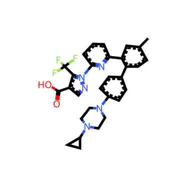 Cc1ccc(-c2ccc(N3CCN(C4CC4)CC3)cc2)c(-c2cccc(-n3ncc(C(=O)O)c3C(F)(F)F)n2)c1